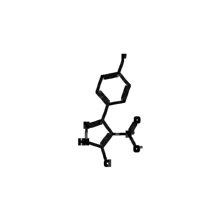 O=[N+]([O-])c1c(-c2ccc(F)cc2)n[nH]c1Cl